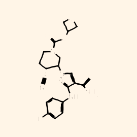 N#C[C@@H]1CCN(C(=O)OC2COC2)CC1n1cc(C(N)=O)c(Nc2ccc(F)cc2)n1